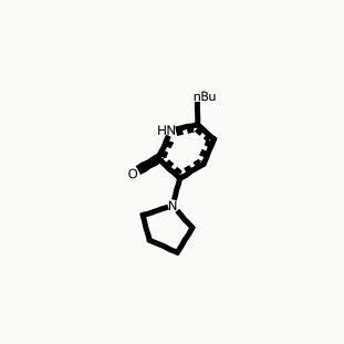 CCCCc1ccc(N2CCCC2)c(=O)[nH]1